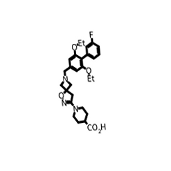 CCOc1cc(CN2CC3(CC(N4CCC(C(=O)O)CC4)=NO3)C2)cc(OCC)c1-c1cccc(F)c1